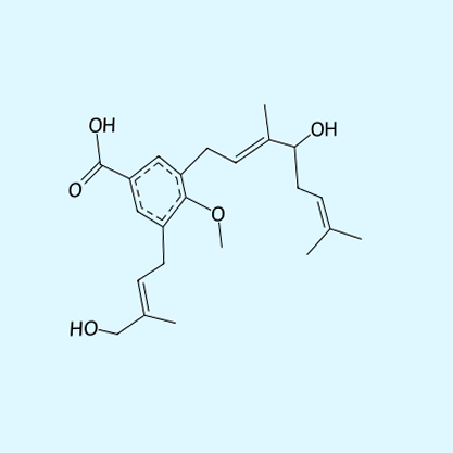 COc1c(C/C=C(\C)CO)cc(C(=O)O)cc1C/C=C(\C)C(O)CC=C(C)C